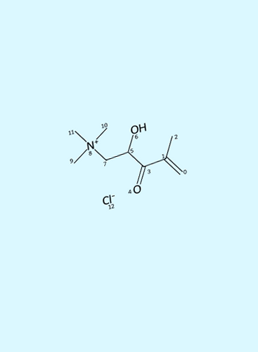 C=C(C)C(=O)C(O)C[N+](C)(C)C.[Cl-]